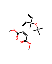 C=C[Si](C)(C=C)O[Si](C)(C)C.COC(=O)/C=C\C(=O)OC